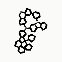 c1ccc(-n2c3ccccc3c3ccc(N(c4ccc5c(c4)-c4ccccc4OC5)c4ccc5c(c4)C(c4ccccc4)(c4ccccc4)c4c-5ccc5ccccc45)cc32)cc1